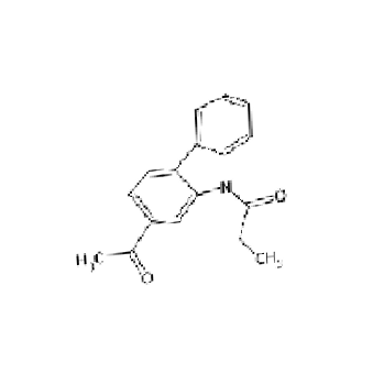 CCC(=O)n1c2ccccc2c2ccc(C(C)=O)cc21